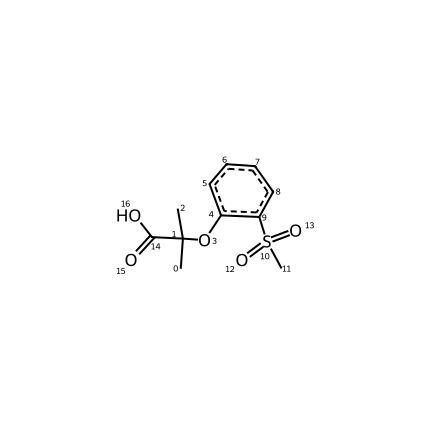 CC(C)(Oc1ccccc1S(C)(=O)=O)C(=O)O